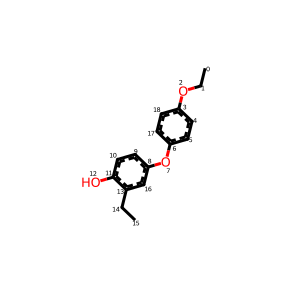 CCOc1ccc(Oc2ccc(O)c(CC)c2)cc1